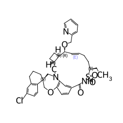 CC[C@@H]1CC/C=C/[C@H](OCc2ccccn2)[C@@H]2CC[C@H]2CN2C[C@@]3(CCCc4cc(Cl)ccc43)COc3ccc(cc32)C(=O)NS1(=O)=O